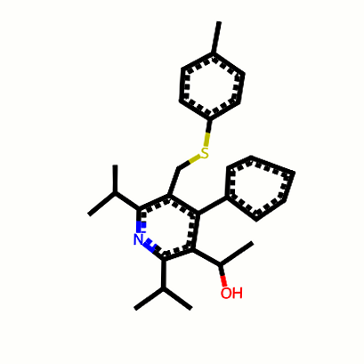 Cc1ccc(SCc2c(C(C)C)nc(C(C)C)c(C(C)O)c2-c2ccccc2)cc1